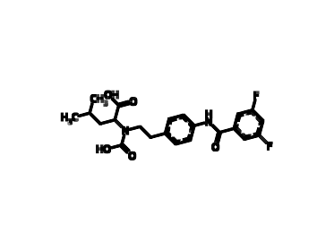 CC(C)CC(C(=O)O)N(CCc1ccc(NC(=O)c2cc(F)cc(F)c2)cc1)C(=O)O